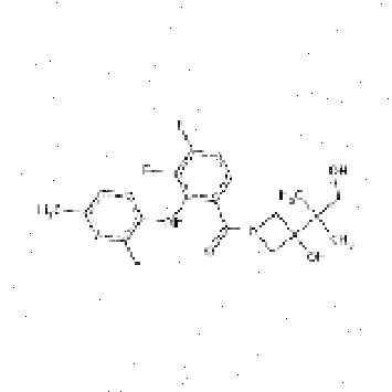 Cc1ccc(Nc2c(C(=O)N3CC(O)(C(C)(C)CO)C3)ccc(F)c2F)c(F)c1